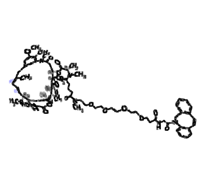 COc1cc2cc(c1Cl)N(C)C(=O)C[C@H](OC(=O)[C@H](C)N(C)C(=O)CCCC(=O)N(C)CCOCCOCCOCCOCCC(=O)NCC(=O)N1Cc3ccccc3C#Cc3ccccc31)[C@]1(C)O[C@H]1[C@H](C)[C@@H]1C[C@@](O)(NC(=O)O1)[C@H](OC)/C=C/C=C(\C)C2